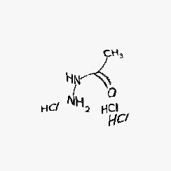 CC(=O)NN.Cl.Cl.Cl